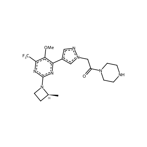 COc1c(-c2cnn(CC(=O)N3CCNCC3)c2)nc(N2CC[C@@H]2C)nc1C(F)(F)F